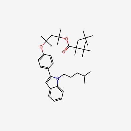 CC(C)CCCn1c(-c2ccc(OC(C)(C)CC(C)(C)OC(=O)C(C)(CC(C)(C)C)C(C)(C)C)cc2)cc2ccccc21